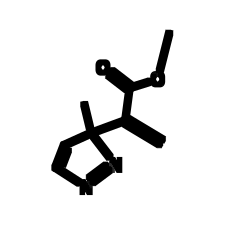 C=C(C(=O)OC)C1(C)C=CN=N1